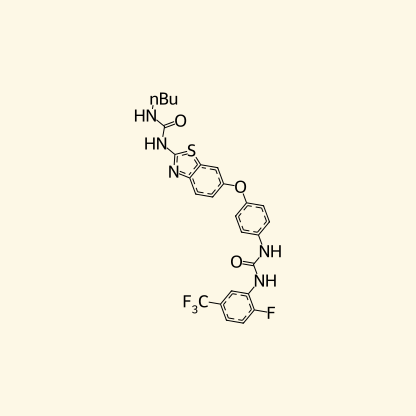 CCCCNC(=O)Nc1nc2ccc(Oc3ccc(NC(=O)Nc4cc(C(F)(F)F)ccc4F)cc3)cc2s1